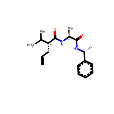 C=CC[C@@H](C(=O)N[C@H](C(=O)N[C@H](C)c1ccccc1)C(C)(C)C)C(C(=O)O)C(C)(C)C